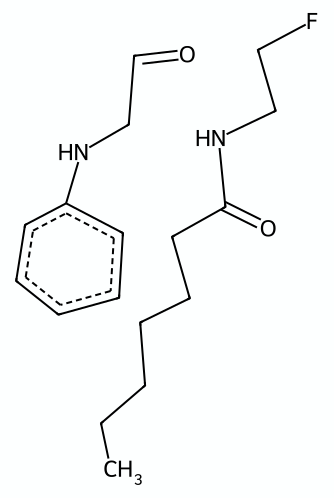 CCCCCCC(=O)NCCF.O=CCNc1ccccc1